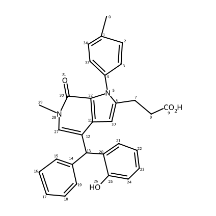 Cc1ccc(-n2c(CCC(=O)O)cc3c(C(c4ccccc4)c4ccccc4O)cn(C)c(=O)c32)cc1